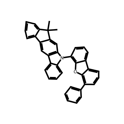 CC1(C)c2ccccc2-c2cc3c4ccccc4n(-c4cccc5c4oc4c(-c6ccccc6)cccc45)c3cc21